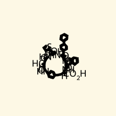 O=C1C[C@@H](O)C(=O)Nc2ccc(cc2)C[C@@H](C(=O)O)NC(=O)[C@@H](Cc2ccccc2Cl)NC(=O)[C@H](Cc2ccc(-c3ccccc3)cc2)NC(=O)[C@@H](Cc2cccs2)N1